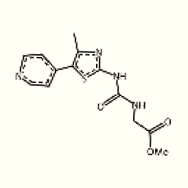 COC(=O)CNC(=O)Nc1nc(C)c(-c2ccncc2)s1